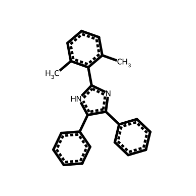 Cc1cccc(C)c1-c1nc(-c2ccccc2)c(-c2ccccc2)[nH]1